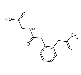 CC(=O)Cc1ccccc1CC(=O)NCC(=O)O